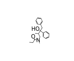 CCC(=O)N(C)CC(C)C(O)(Cc1ccccc1)c1ccccc1